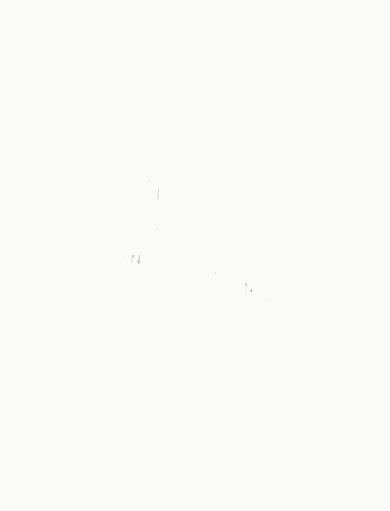 CC1=NC(Cl)CC(N)=C1